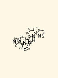 Cc1cccnc1C1CCCC(c2cn3c(-c4cncn4C)cccc3n2)N1